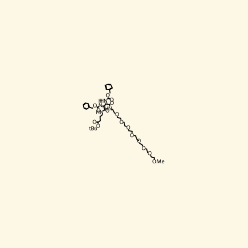 COCCOCCOCCOCCOCCOCCOCCOCCNC(=O)[C@H](NC(=O)OCc1ccccc1)[C@@H](NC(=O)OCc1ccccc1)C(=O)NCCCC(=O)OC(C)(C)C